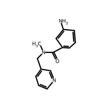 CN(Cc1cccnc1)C(=O)c1cccc(N)c1